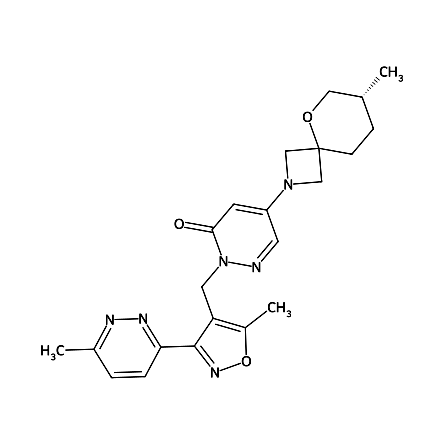 Cc1ccc(-c2noc(C)c2Cn2ncc(N3CC4(CC[C@@H](C)CO4)C3)cc2=O)nn1